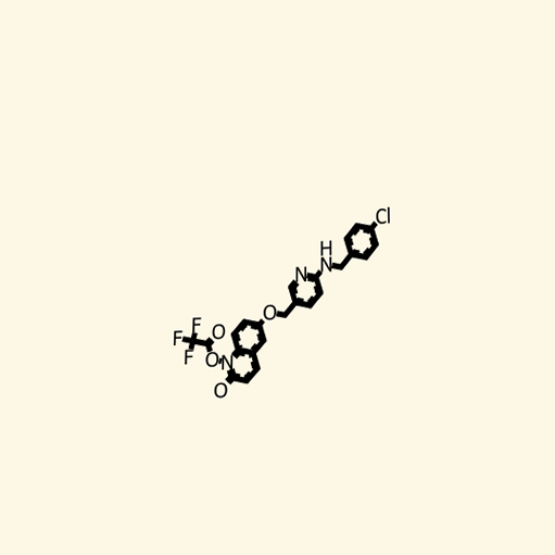 O=C(On1c(=O)ccc2cc(OCc3ccc(NCc4ccc(Cl)cc4)nc3)ccc21)C(F)(F)F